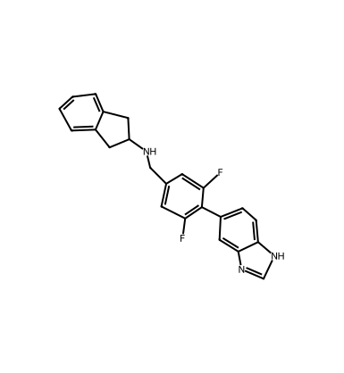 Fc1cc(CNC2Cc3ccccc3C2)cc(F)c1-c1ccc2[nH]cnc2c1